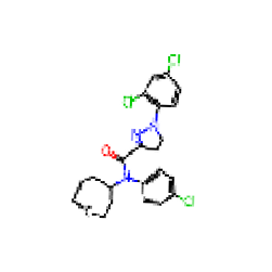 O=C(C1=NN(c2ccc(Cl)cc2Cl)CC1)N(c1ccc(Cl)cc1)C1CCCCCC1